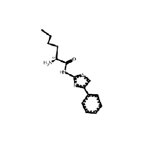 CCCC[C@H](N)C(=O)Nc1nc(-c2ccccc2)cs1